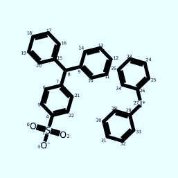 O=S(=O)([O-])c1ccc(C(c2ccccc2)c2ccccc2)cc1.c1ccc([I+]c2ccccc2)cc1